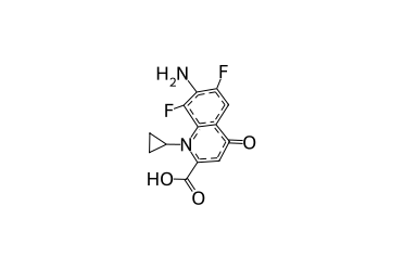 Nc1c(F)cc2c(=O)cc(C(=O)O)n(C3CC3)c2c1F